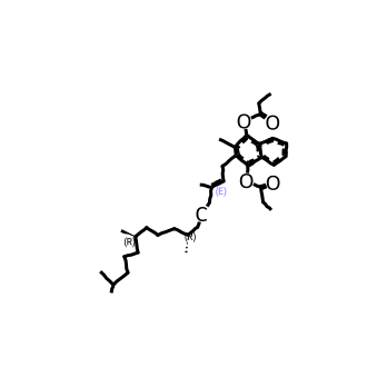 CCC(=O)Oc1c(C)c(C/C=C(\C)CCC[C@H](C)CCC[C@H](C)CCCC(C)C)c(OC(=O)CC)c2ccccc12